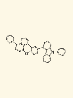 c1ccc(-c2ccc3c4c(cccc24)-c2cc(-c4cccc5c4c4ccccc4n5-c4ccccc4)ccc2O3)cc1